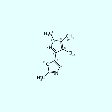 Cc1ncc(-c2nn(C)c(C)c2Cl)o1